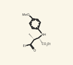 CCOC(=O)[C@@H](Nc1ccc(OC)cc1)[C@@H](C)C(=O)CC